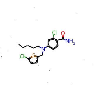 CCCCCN(Cc1ccc(Cl)s1)c1ccc(C(N)=O)c(Cl)c1